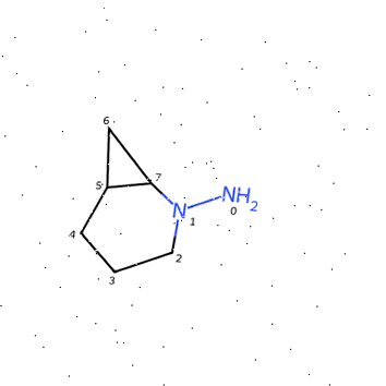 NN1CCCC2CC21